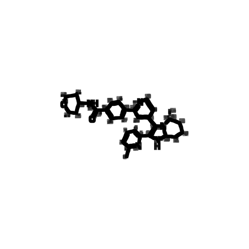 Cc1cccc(C2=C(c3ccnc(-c4ccc(C(=O)NC5CCOCC5)cc4)c3)N3C(CCC[C@H]3C)N2)n1